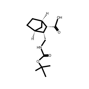 CC(C)(C)OC(=O)NC[C@@H]1[C@H]2CC[C@H](C2)[C@@H]1C(=O)O